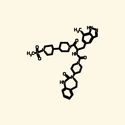 Cc1cc(CC(NC(=O)N2CCC(N3CCc4ccccc4NC3=O)CC2)C(=O)N2CCC(C3CCN(S(C)(=O)=O)CC3)CC2)cc2cn[nH]c12